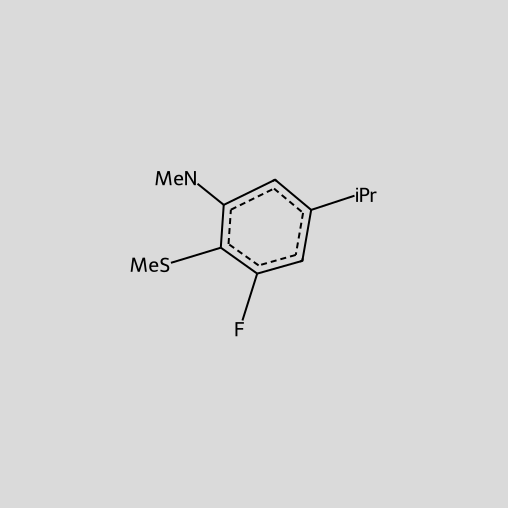 CNc1cc(C(C)C)cc(F)c1SC